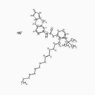 Br.CCCCCCCCCCCCCCOc1c(CC(=O)Nc2ccc(CN3CSC=C3C)cc2)cccc1C(C)(C)C